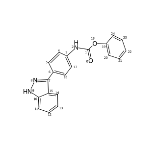 O=C(Nc1ccc(-c2n[nH]c3ccccc23)cc1)Oc1ccccc1